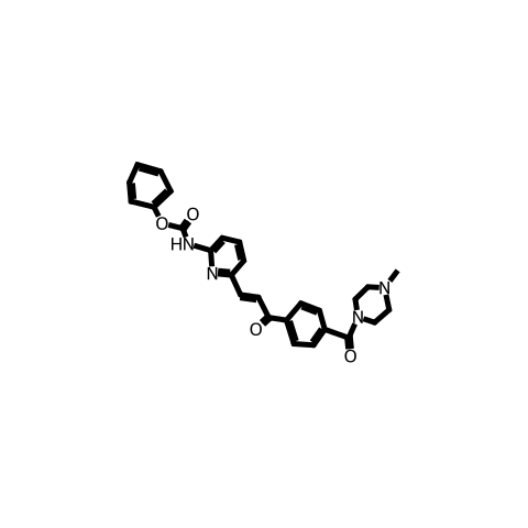 CN1CCN(C(=O)c2ccc(C(=O)C=Cc3cccc(NC(=O)Oc4ccccc4)n3)cc2)CC1